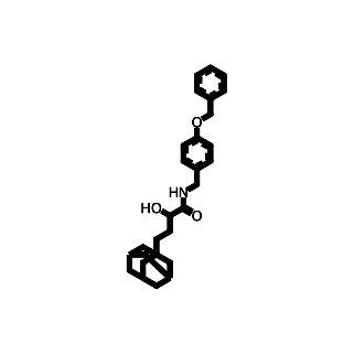 O=C(NCc1ccc(OCc2ccccc2)cc1)C(O)CCC12CC3CC(CC(C3)C1)C2